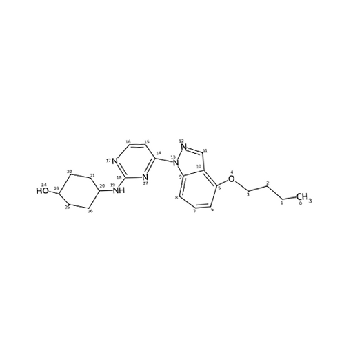 CCCCOc1cccc2c1cnn2-c1ccnc(NC2CCC(O)CC2)n1